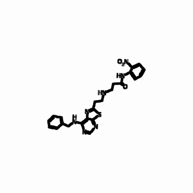 O=C(CCNCCc1nc2c(NCc3ccccc3)ncnc2s1)Nc1ccccc1[N+](=O)[O-]